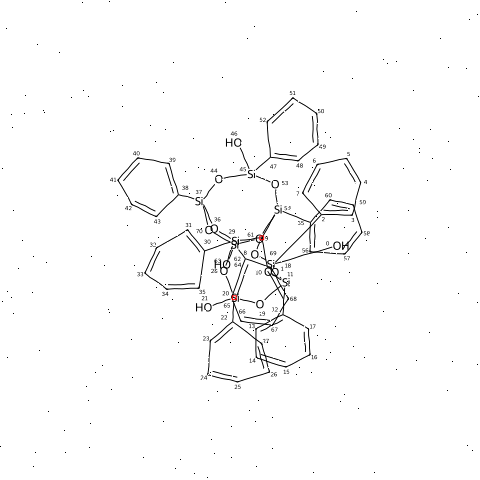 O[Si]1(c2ccccc2)OC23O[Si](c4ccccc4)(O1)O[Si](O)(c1ccccc1)O[Si]2(c1ccccc1)O[Si]1(c2ccccc2)O[Si](O)(c2ccccc2)O[Si]3(c2ccccc2)O[Si](O)(c2ccccc2)O1